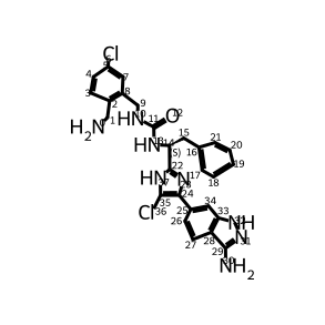 NCc1ccc(Cl)cc1CNC(=O)N[C@@H](Cc1ccccc1)c1nc(-c2ccc3c(N)n[nH]c3c2)c(Cl)[nH]1